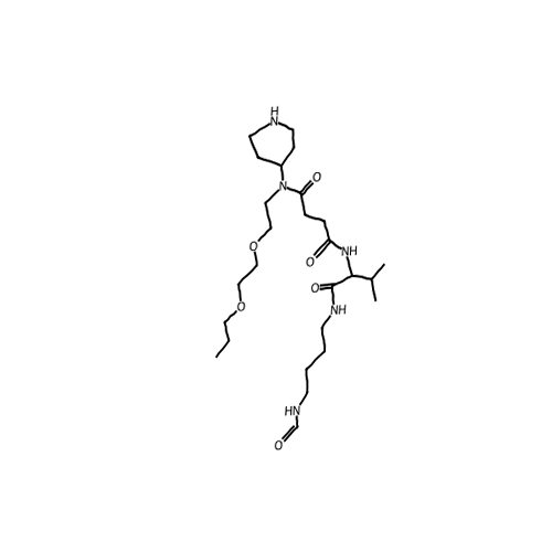 CCCOCCOCCN(C(=O)CCC(=O)NC(C(=O)NCCCCNC=O)C(C)C)C1CCNCC1